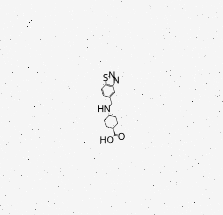 O=C(O)[C@H]1CC[C@H](NCc2ccc3snnc3c2)CC1